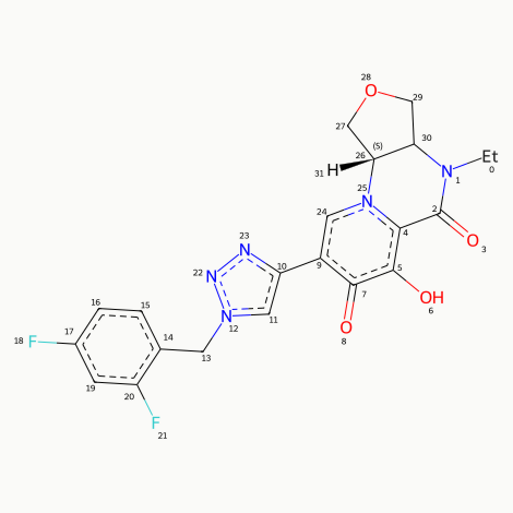 CCN1C(=O)c2c(O)c(=O)c(-c3cn(Cc4ccc(F)cc4F)nn3)cn2[C@@H]2COCC21